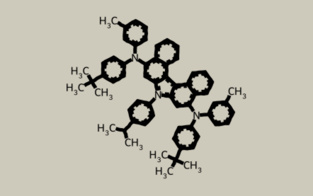 Cc1cccc(N(c2ccc(C(C)(C)C)cc2)c2cc3c(c4ccccc24)c2c4ccccc4c(N(c4ccc(C(C)(C)C)cc4)c4cccc(C)c4)cc2n3-c2ccc(C(C)C)cc2)c1